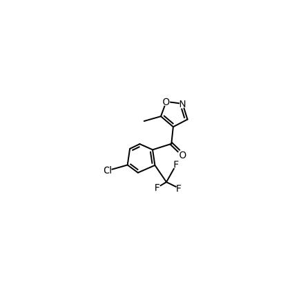 Cc1oncc1C(=O)c1ccc(Cl)cc1C(F)(F)F